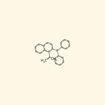 C=C(C)c1c(P(c2ccccc2)c2ccccc2)ccc2ccccc12